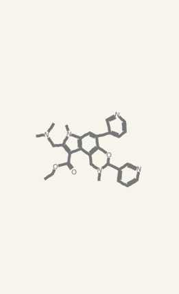 CCOC(=O)c1c(CN(C)C)n(C)c2cc(-c3cccnc3)c3c(c12)CN(C)C(c1cccnc1)O3